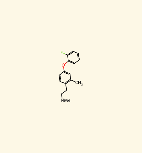 CNCCc1ccc(Oc2ccccc2F)cc1C